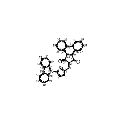 O=C1C(=Cc2ccc(-n3c4ccccc4c4ccccc43)s2)C(=O)c2c1c1ccccc1c1ccccc21